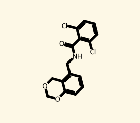 O=C(NCc1cccc2c1COCO2)c1c(Cl)cccc1Cl